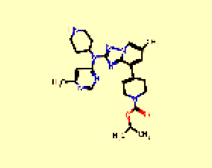 Cc1cc(C2=CCN(C(=O)OC(C)C)CC2)c2nc(N(c3cc(C)ncn3)C3CCNCC3)nn2c1